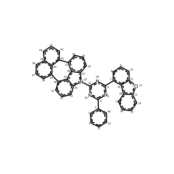 c1ccc(-c2nc(-c3cccc4oc5ccccc5c34)nc(-n3c4cccc5c4c4c(cccc43)-c3cccc4cccc-5c34)n2)cc1